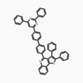 c1ccc(-c2cc(-c3ccc(-c4ccc(-c5nc6ccccc6c6sc(-c7ccccc7)c(-c7ccccc7)c56)cc4)cc3)nc(-c3ccccc3)n2)cc1